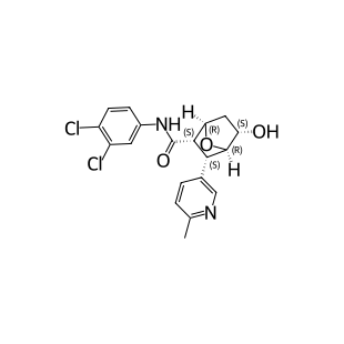 Cc1ccc([C@H]2[C@H]3O[C@H](C[C@@H]3O)[C@H]2C(=O)Nc2ccc(Cl)c(Cl)c2)cn1